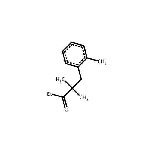 CCC(=O)C(C)(C)Cc1ccccc1C